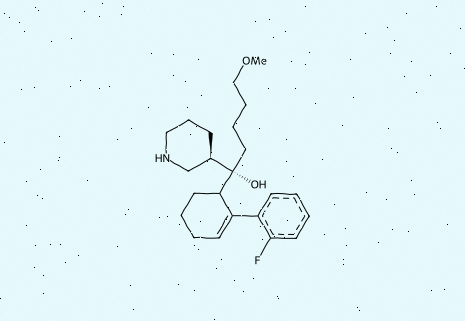 COCCCC[C@@](O)(C1CCCC=C1c1ccccc1F)[C@@H]1CCCNC1